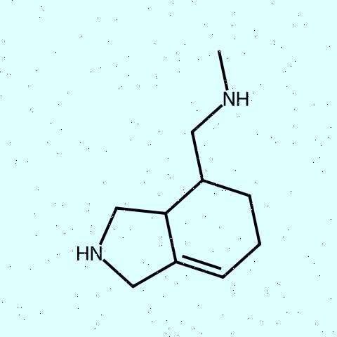 CNCC1CCC=C2CNCC21